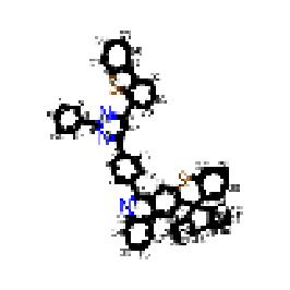 c1ccc(-c2nc(-c3ccc(-c4nc5ccccc5c5cc6c(cc45)Sc4ccccc4C64c5ccccc5-c5ccccc54)cc3)cc(-c3cccc4c3sc3ccccc34)n2)cc1